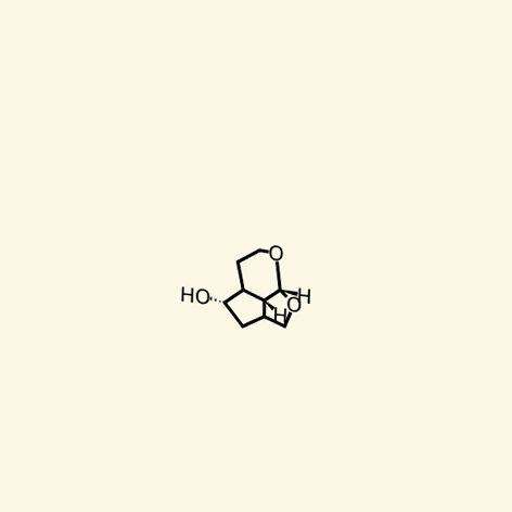 O[C@H]1CC2CO[C@H]3OCCC1[C@@H]23